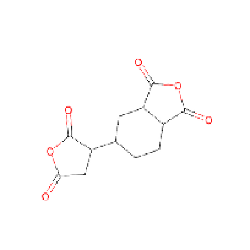 O=C1CC(C2CCC3C(=O)OC(=O)C3C2)C(=O)O1